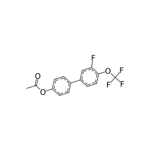 CC(=O)Oc1ccc(-c2ccc(OC(F)(F)F)c(F)c2)cc1